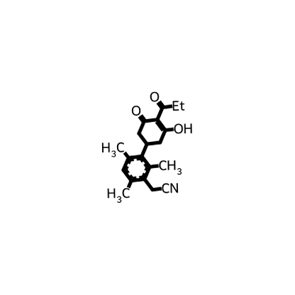 CCC(=O)C1=C(O)CC(c2c(C)cc(C)c(CC#N)c2C)CC1=O